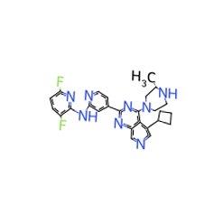 C[C@H]1CN(c2nc(-c3ccnc(Nc4nc(F)ccc4F)c3)nc3cncc(C4CCC4)c23)CCN1